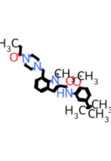 CCC(=O)N1CCN(Cc2cccc3cc(C(=O)Nc4cc(C(C)(C)C)ccc4OC)n(C)c23)CC1